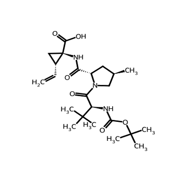 C=C[C@@H]1C[C@]1(NC(=O)[C@@H]1C[C@@H](C)CN1C(=O)[C@@H](NC(=O)OC(C)(C)C)C(C)(C)C)C(=O)O